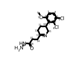 COc1ccc(Cl)c(Cl)c1C1CCC(CCC(=O)NN)=NC1